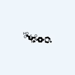 CN1CCCN(c2ccc(-n3cnc4cc(C(=O)O)sc4c3=O)cc2)CC1